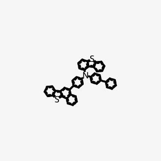 c1ccc(-c2ccc(N(c3ccc(-c4cc5c6ccccc6sc5c5ccccc45)cc3)c3cccc4sc5ccccc5c34)cc2)cc1